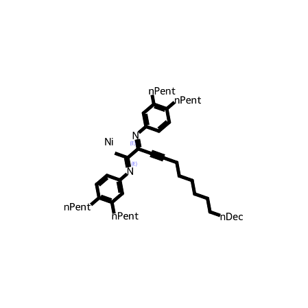 CCCCCCCCCCCCCCCCC#CC(=N\c1ccc(CCCCC)c(CCCCC)c1)/C(C)=N/c1ccc(CCCCC)c(CCCCC)c1.[Ni]